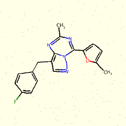 Cc1nc(-c2ccc(C)o2)n2ncc(Cc3ccc(F)cc3)c2n1